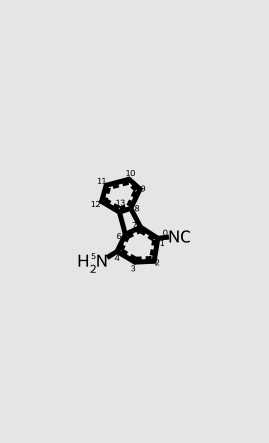 [C-]#[N+]c1ccc(N)c2c1-c1ccccc1-2